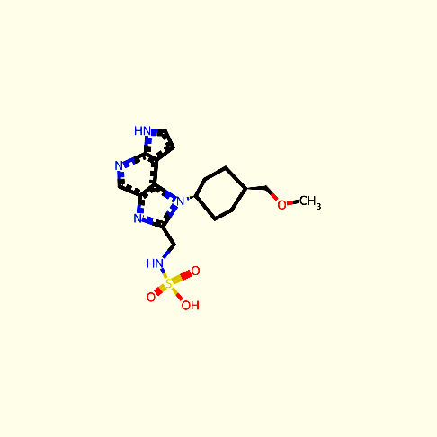 COC[C@H]1CC[C@H](n2c(CNS(=O)(=O)O)nc3cnc4[nH]ccc4c32)CC1